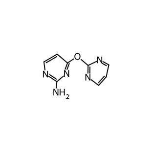 Nc1nccc(Oc2ncccn2)n1